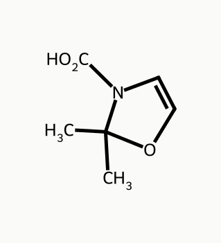 CC1(C)OC=CN1C(=O)O